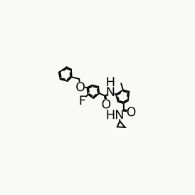 Cc1ccc(C(=O)NC2CC2)cc1NC(=O)c1ccc(OCc2ccccc2)c(F)c1